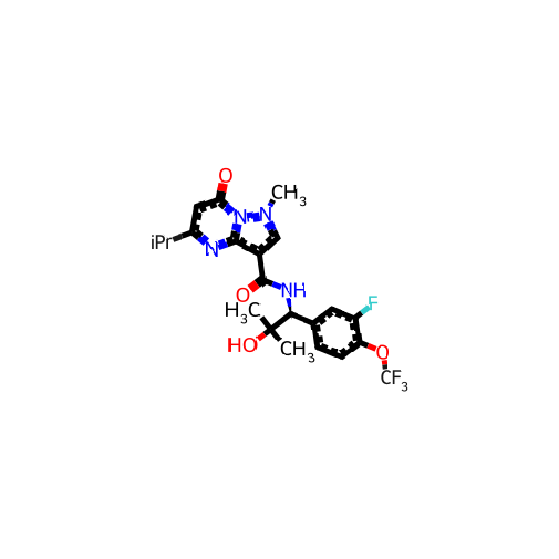 CC(C)c1cc(=O)n2c(n1)c(C(=O)N[C@@H](c1ccc(OC(F)(F)F)c(F)c1)C(C)(C)O)cn2C